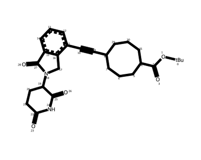 CC(C)(C)OC(=O)C1CCCC(C#Cc2cccc3c2CN(C2CCC(=O)NC2=O)C3=O)CCC1